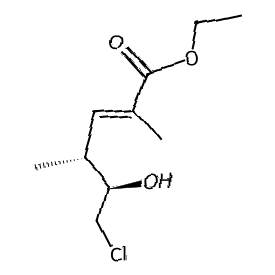 CCOC(=O)/C(C)=C/[C@@H](C)[C@@H](O)CCl